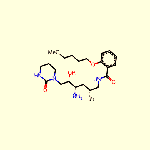 COCCCCOc1ccccc1C(=O)NC[C@@H](C[C@H](N)[C@@H](O)CN1CCCNC1=O)C(C)C